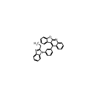 CCc1nc2ccccc2n1-c1cccc(-c2c3ccccc3nc3oc4ccccc4c23)c1